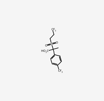 CC(C(=O)O)(c1ccc(C(F)(F)F)cc1)S(=O)(=O)CCC(F)(F)F